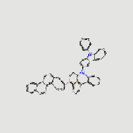 c1ccc(-c2ccccc2N(c2ccc(-c3ccc4c(ccc5c6ccccc6ccc45)c3)cc2)c2ccc3c(c2)c2ccccc2n3-c2ccccc2)cc1